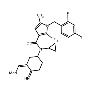 CN/C=C1/CC(N(C(=O)c2cc(C)n(Cc3ccc(F)cc3F)c2C)C2CC2)CCC1=N